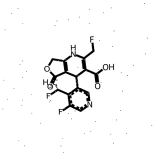 C[C@@H](F)c1c(F)cncc1C1C(C(=O)O)=C(CF)NC2=C1C(=O)OC2